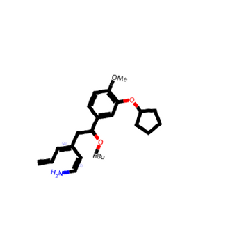 C=C/C=C(\C=C/N)CC(OCCCC)c1ccc(OC)c(OC2CCCC2)c1